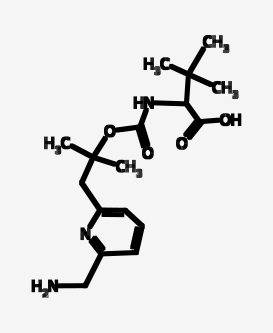 CC(C)(Cc1cccc(CN)n1)OC(=O)NC(C(=O)O)C(C)(C)C